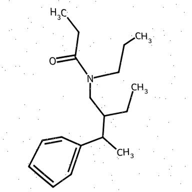 CCCN(CC(CC)C(C)c1ccccc1)C(=O)CC